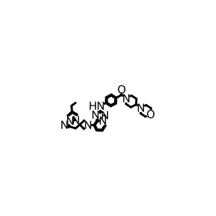 CCc1cnn(C2(CC#N)CN(c3cccn4nc(Nc5ccc(C(=O)N6CCC(N7CCOCC7)CC6)cc5)nc34)C2)c1